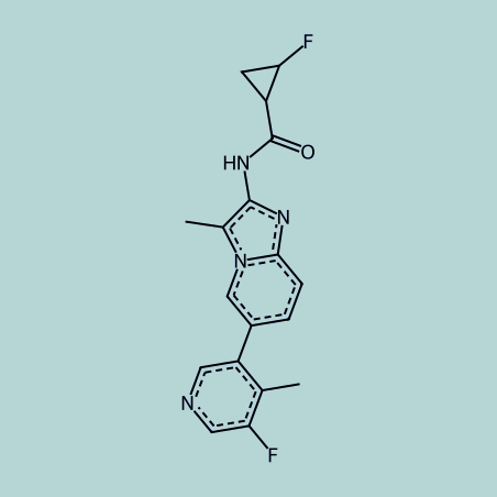 Cc1c(F)cncc1-c1ccc2nc(NC(=O)C3CC3F)c(C)n2c1